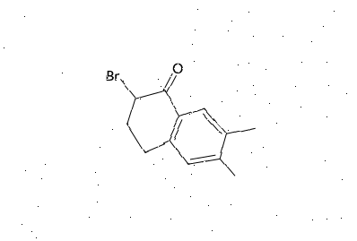 Cc1cc2c(cc1C)C(=O)C(Br)CC2